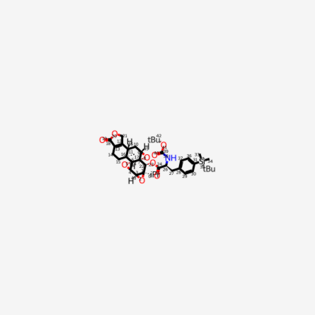 CC(C)[C@]12O[C@H]1[C@@H]1O[C@]13[C@]1(O[C@H]1C[C@H]1C4=C(CC[C@@]13C)C(=O)OC4)[C@@H]2OC(=O)[C@H](Cc1ccc([Si](C)(C)C(C)(C)C)cc1)NC(=O)OC(C)(C)C